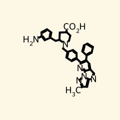 Cc1cc2ncc3cc(-c4ccccc4)c(-c4ccc(CN5CCC(C(=O)O)CC5Cc5cccc(N)c5)cc4)nc3n2n1